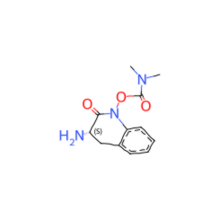 CN(C)C(=O)ON1C(=O)[C@@H](N)Cc2ccccc21